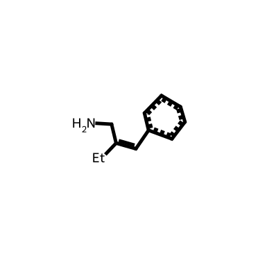 CCC(=Cc1ccccc1)CN